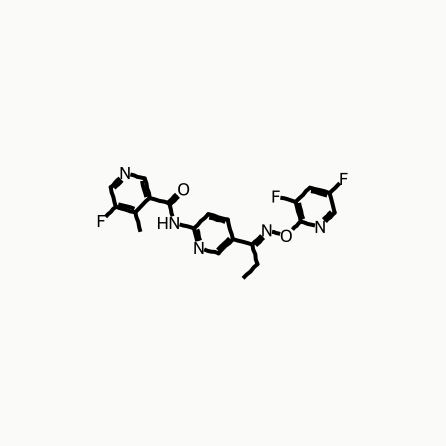 CC/C(=N\Oc1ncc(F)cc1F)c1ccc(NC(=O)c2cncc(F)c2C)nc1